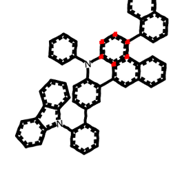 c1ccc(N(c2ccc(-c3cccc4ccccc34)cc2)c2ccc(-c3ccccc3-n3c4ccccc4c4ccccc43)cc2-c2cc3ccccc3c3ccccc23)cc1